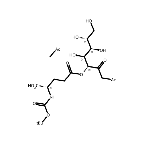 CC(=O)CC(=O)[C@H](OC(=O)CC[C@H](NC(=O)OC(C)(C)C)C(=O)O)[C@@H](O)[C@H](O)[C@H](O)CO.CC(C)=O